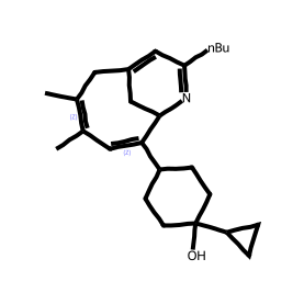 CCCCC1=NC2CC(=C1)C/C(C)=C(C)\C=C/2C1CCC(O)(C2CC2)CC1